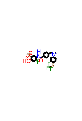 CN(Cc1ccc(C(=O)Nc2cc(S(C)(=O)=O)c(O)cc2F)cc1)c1ccc(SC(F)(F)F)cc1